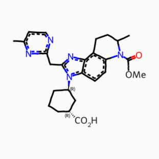 COC(=O)N1c2ccc3c(nc(Cc4nccc(C)n4)n3[C@@H]3CCC[C@@H](C(=O)O)C3)c2CCC1C